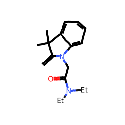 C=C1N(CC(=O)N(CC)CC)c2ccccc2C1(C)C